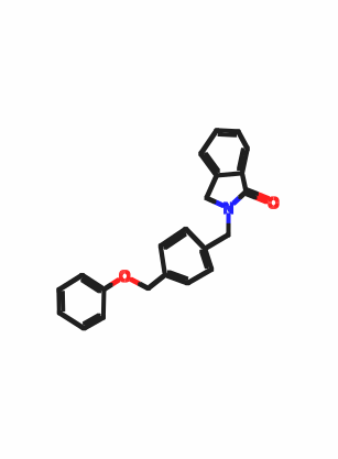 O=C1c2ccccc2CN1Cc1ccc(COc2ccccc2)cc1